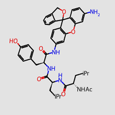 CC(=O)N[C@@H](CC(C)C)C(=O)N[C@@H](CC(C)C)C(=O)N[C@@H](Cc1ccc(O)cc1)C(=O)Nc1ccc2c(c1)Oc1cc(N)ccc1C21OCc2ccccc21